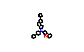 c1ccc(-c2ccc(N(c3ccc4c(ccc5cc(-c6ccccc6)ccc54)c3)c3ccc4c(c3)oc3ccccc34)cc2)cc1